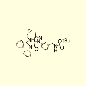 Cc1cc(C(=O)N(c2ccccc2)C(NCC2CC2)c2ccccc2)n(-c2cccc(CNC(=O)OC(C)(C)C)c2)n1